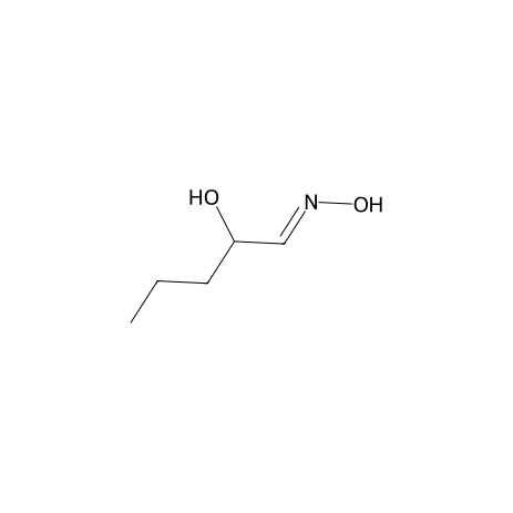 CCCC(O)C=NO